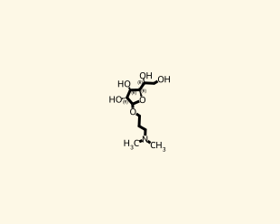 CN(C)CCCOC1O[C@H]([C@H](O)CO)[C@H](O)[C@H]1O